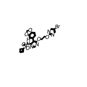 O=S(=O)(Nc1ncnc(OCCOc2ncc(Br)cn2)c1-c1ccc2c(c1)OCO2)C12CC(C1)C2